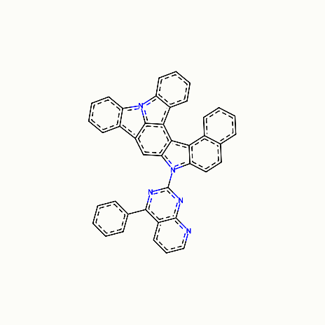 c1ccc(-c2nc(-n3c4ccc5ccccc5c4c4c5c6ccccc6n6c7ccccc7c(cc43)c56)nc3ncccc23)cc1